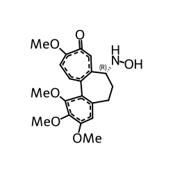 COc1cc2c(c(OC)c1OC)-c1ccc(OC)c(=O)cc1[C@H](NO)CC2